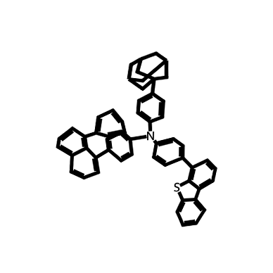 c1ccc(-c2cccc3cccc(-c4ccc(N(c5ccc(-c6cccc7c6sc6ccccc67)cc5)c5ccc(C67CC8CC(CC(C8)C6)C7)cc5)cc4)c23)cc1